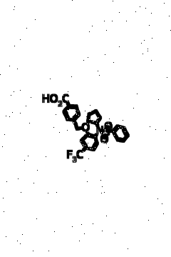 O=C(O)c1ccc(COc2cc(C(F)(F)F)ccc2N(C2CCCC2)S(=O)(=O)c2ccccc2)cc1